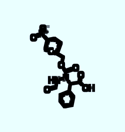 O=CNN(C(=O)OCc1ccc([N+](=O)[O-])cc1)[C@@H](C(=O)O)c1ccccc1